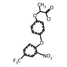 CC(Oc1ccc(Oc2ccc(C(F)(F)F)cc2[N+](=O)[O-])cc1)C(=O)Cl